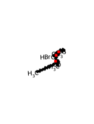 Br.CCCCCCCCCCCCCCOc1cc(CCN(C(C)=O)c2ccc(CN3C=CSC3)cc2)ccc1OC